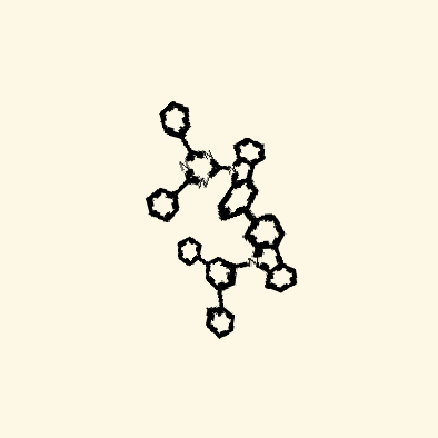 c1ccc(-c2cc(-c3ccccc3)cc(-n3c4ccccc4c4ccc(-c5ccc6c(c5)c5ccccc5n6-c5nc(-c6ccccc6)nc(-c6ccccc6)n5)cc43)c2)cc1